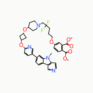 COC(=O)c1ccc(OCCCC(F)(F)CN2CCC(O[C@H]3C[C@H](Oc4ccc(-c5ccc6c7cnccc7n(C)c6c5)cn4)C3)CC2)cc1C(=O)OC